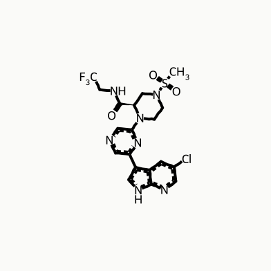 CS(=O)(=O)N1CCN(c2cncc(-c3c[nH]c4ncc(Cl)cc34)n2)[C@@H](C(=O)NCC(F)(F)F)C1